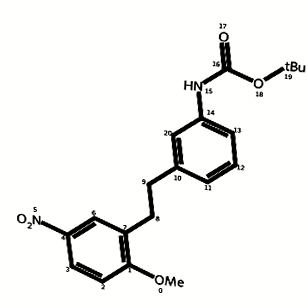 COc1ccc([N+](=O)[O-])cc1CCc1cccc(NC(=O)OC(C)(C)C)c1